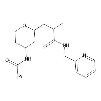 CC(C)C(=O)NC1CCOC(CC(C)C(=O)NCc2ccccn2)C1